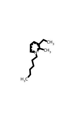 CCCCCC[n+]1cccc(CC)c1C